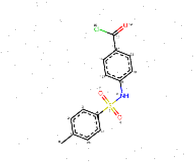 Cc1ccc(S(=O)(=O)Nc2ccc(C(=O)Cl)cc2)cc1